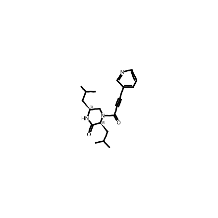 CC(C)C[C@H]1CN(C(=O)C#Cc2cccnc2)[C@@H](CC(C)C)C(=O)N1